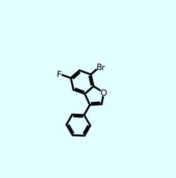 Fc1cc(Br)c2occ(-c3ccccc3)c2c1